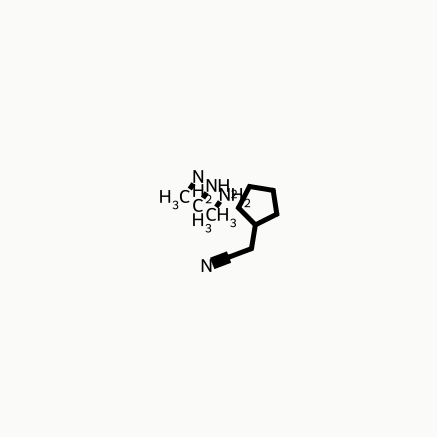 CN.CN.CN.N#CCC1CCCC1